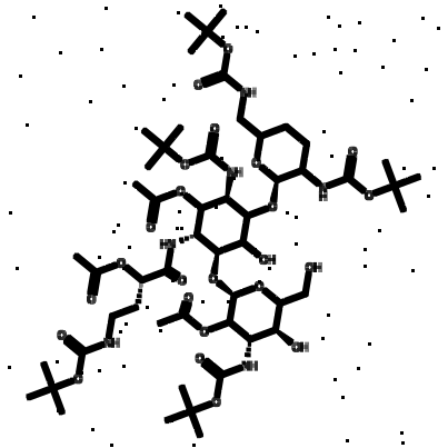 CC(=O)OC1[C@@H](O[C@@H]2C(O)C(O[C@H]3OC(CNC(=O)OC(C)(C)C)CCC3NC(=O)OC(C)(C)C)[C@H](NC(=O)OC(C)(C)C)C(OC(C)=O)[C@H]2NC(=O)[C@H](CCNC(=O)OC(C)(C)C)OC(C)=O)OC(CO)[C@@H](O)[C@@H]1NC(=O)OC(C)(C)C